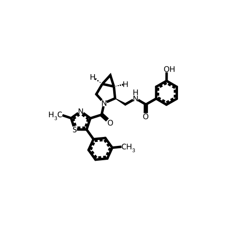 Cc1cccc(-c2sc(C)nc2C(=O)N2C[C@H]3C[C@H]3[C@H]2CNC(=O)c2cccc(O)c2)c1